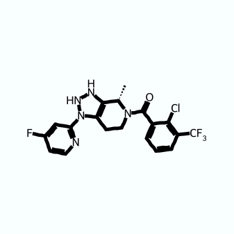 C[C@H]1C2=C(CCN1C(=O)c1cccc(C(F)(F)F)c1Cl)N(c1cc(F)ccn1)NN2